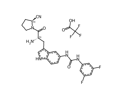 N#C[C@@H]1CCCN1C(=O)[C@@H](N)Cc1c[nH]c2ccc(NC(=O)Nc3cc(F)cc(F)c3)cc12.O=C(O)C(F)(F)F